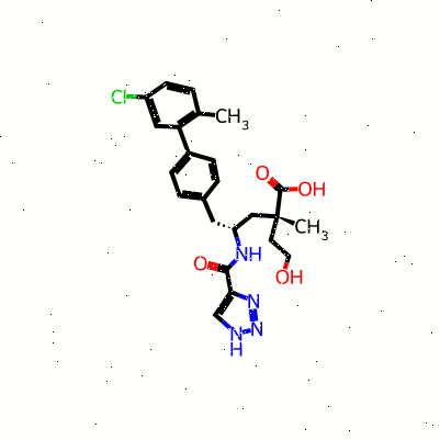 Cc1ccc(Cl)cc1-c1ccc(C[C@H](C[C@@](C)(CCO)C(=O)O)NC(=O)c2c[nH]nn2)cc1